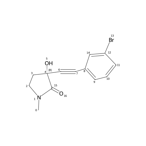 CN1CC[C@@](O)(C#Cc2cccc(Br)c2)C1=O